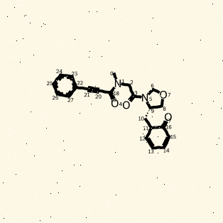 CN(CC(=O)N1COC[C@@H]1CC1C=CC=CC1=O)C(=O)C#Cc1ccccc1